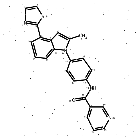 Cc1cc2c(-c3nccs3)cccc2n1-c1ccc(NC(=O)c2cccnc2)cc1